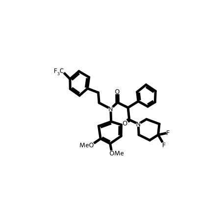 COc1ccc(N(CCc2ccc(C(F)(F)F)cc2)C(=O)C(C(=O)N2CCC(F)(F)CC2)c2ccccc2)cc1OC